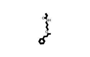 C=CC(=O)NCCCCOC(C)CCc1ccccc1